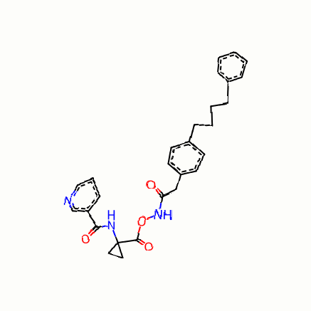 O=C(Cc1ccc(CCCCc2ccccc2)cc1)NOC(=O)C1(NC(=O)c2cccnc2)CC1